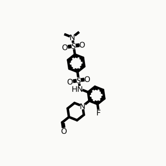 CN(C)S(=O)(=O)c1ccc(S(=O)(=O)Nc2cccc(F)c2N2CCC(C=O)CC2)cc1